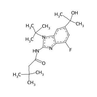 CC(C)(C)CC(=O)Nc1nc2c(F)cc(C(C)(C)O)cc2n1C(C)(C)C